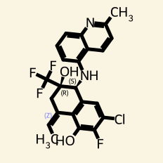 C/C=C1/C[C@](O)(C(F)(F)F)[C@@H](Nc2cccc3nc(C)ccc23)c2cc(Cl)c(F)c(O)c21